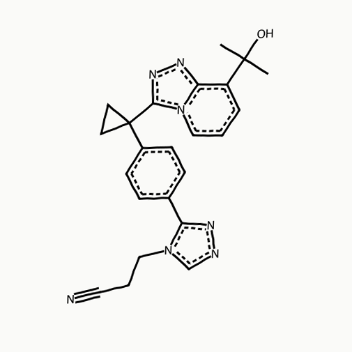 CC(C)(O)c1cccn2c(C3(c4ccc(-c5nncn5CCC#N)cc4)CC3)nnc12